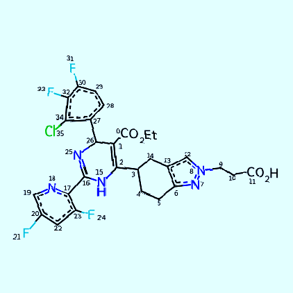 CCOC(=O)C1=C(C2CCc3nn(CCC(=O)O)cc3C2)NC(c2ncc(F)cc2F)=NC1c1ccc(F)c(F)c1Cl